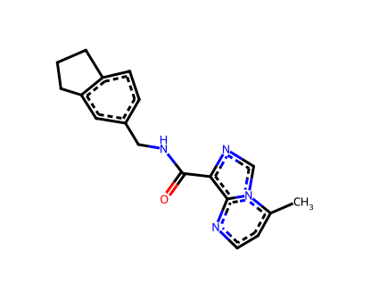 Cc1ccnc2c(C(=O)NCc3ccc4c(c3)CCC4)ncn12